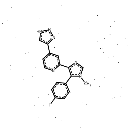 Cn1cnc(-c2cc(-c3c[nH]nn3)ccn2)c1-c1ccc(F)cc1